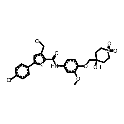 COc1cc(NC(=O)c2sc(-c3ccc(Cl)cc3)cc2CCl)ccc1OCC1(O)CCS(=O)(=O)CC1